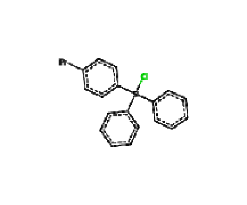 CC(C)c1ccc([Si](Cl)(c2ccccc2)c2ccccc2)cc1